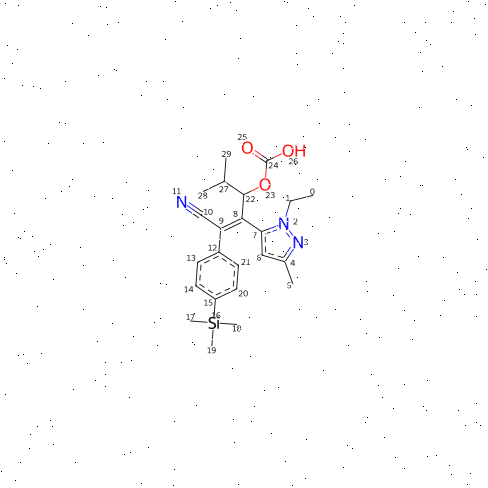 CCn1nc(C)cc1/C(=C(/C#N)c1ccc([Si](C)(C)C)cc1)C(OC(=O)O)C(C)C